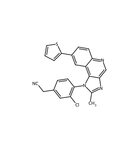 Cc1nc2cnc3ccc(-c4cccs4)cc3c2n1-c1ccc(CC#N)cc1Cl